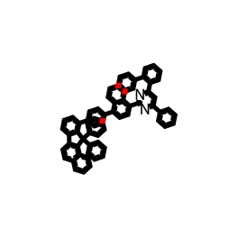 c1ccc(-c2cc(-c3ccccc3-c3ccccc3)nc(-c3ccc(-c4ccc(-c5cccc6c5C(c5ccccc5)(c5ccccc5)c5c-6ccc6ccccc56)cc4)c4ccccc34)n2)cc1